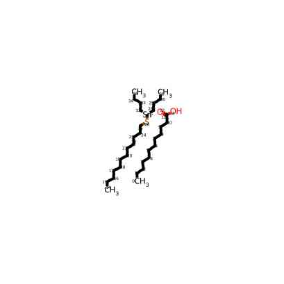 CCCCCCCCCCCC(=O)O.CCCCCCCCCCCC[S][Sn]([CH2]CCC)[CH2]CCC